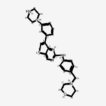 c1cc(-c2csc3cnc(Nc4ccc(CN5CCOCC5)cc4)nc23)cc(N2CCNCC2)c1